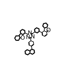 C1=CC2Oc3ccccc3C2C(c2cccc(-c3nc(-c4cccc5c4oc4ccccc45)nc(C4C=CC(c5cccc6ccccc56)=CC4)n3)c2)=C1